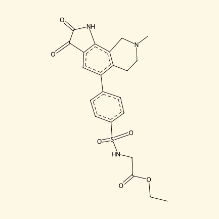 CCOC(=O)CNS(=O)(=O)c1ccc(-c2cc3c(c4c2CCN(C)C4)NC(=O)C3=O)cc1